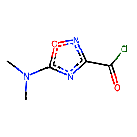 CN(C)c1nc(C(=O)Cl)no1